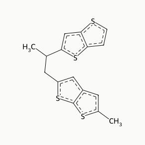 Cc1cc2cc(CC(C)c3cc4sccc4s3)sc2s1